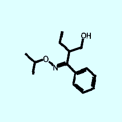 CCC(CO)C(=NOC(C)C)c1ccccc1